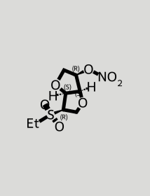 CCS(=O)(=O)[C@@H]1CO[C@H]2[C@@H]1OC[C@H]2O[N+](=O)[O-]